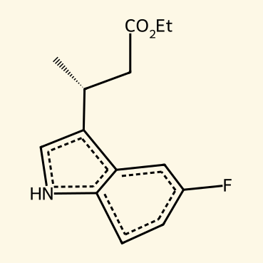 CCOC(=O)C[C@@H](C)c1c[nH]c2ccc(F)cc12